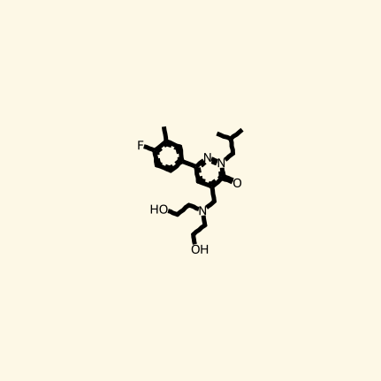 Cc1cc(-c2cc(CN(CCO)CCO)c(=O)n(CC(C)C)n2)ccc1F